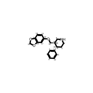 c1ccc([C@H]2CCNC[C@@H]2COc2ccc3c(c2)OCO3)cc1